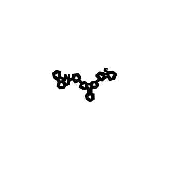 c1ccc(-n2c3ccc(-c4cccc(-c5cc6cccc7c6c(n5)-c5ccccc5-7)c4)cc3c3cc(-c4ccc5sc6ccccc6c5c4)ccc32)cc1